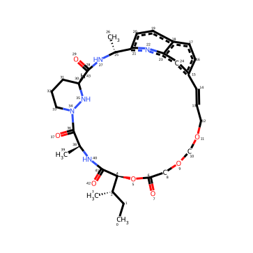 CC[C@H](C)[C@@H]1OC(=O)COCOC/C=C/c2ccc3ccc(nc3c2)[C@@H](C)NC(=O)[C@@H]2CCCN(N2)C(=O)[C@H](C)NC1=O